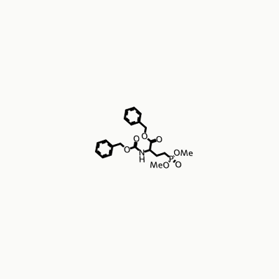 COP(=O)(CCC(NC(=O)OCc1ccccc1)C(=O)OCc1ccccc1)OC